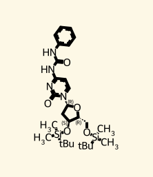 CC(C)(C)[Si](C)(C)OC[C@H]1O[C@@H](n2ccc(NC(=O)Nc3ccccc3)nc2=O)C[C@@H]1O[Si](C)(C)C(C)(C)C